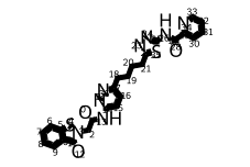 O=C(Cn1sc2ccccc2c1=O)Nc1ccc(CCCCc2nnc(NC(=O)c3ccccn3)s2)nn1